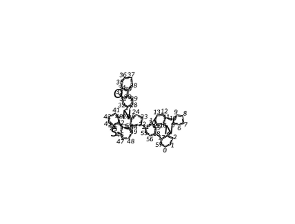 c1ccc(-n2c3ccccc3c3ccccc32)c(-c2ccc(-c3ccc(N(c4ccc5c(c4)oc4ccccc45)c4cccc5sc6ccccc6c45)cc3)cc2)c1